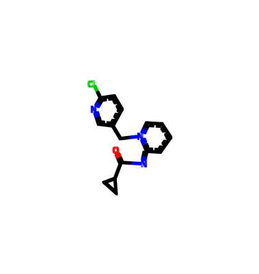 O=C(N=c1ccccn1Cc1ccc(Cl)nc1)C1CC1